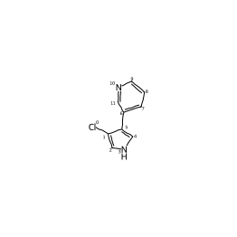 Clc1c[nH]cc1-c1cccnc1